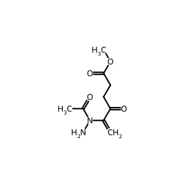 C=C(C(=O)CCC(=O)OC)N(N)C(C)=O